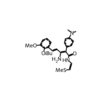 COc1cccc(/C=C/C(N)=C(/C(=O)N/C=C\SC)c2ccc(N(C)C)cc2)c1OCC(C)C